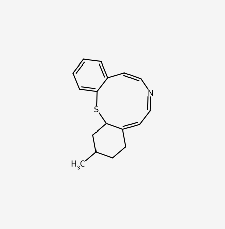 CC1CCC2=CC=NC=Cc3ccccc3SC2C1